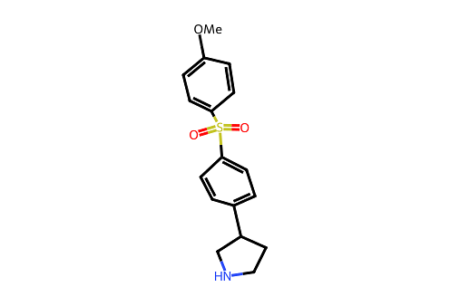 COc1ccc(S(=O)(=O)c2ccc(C3CCNC3)cc2)cc1